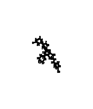 Cc1cccc(-c2ccn(-c3cc(N4CCOCC4)c4c(n3)CN(CCc3ccn(C)n3)C4)n2)c1